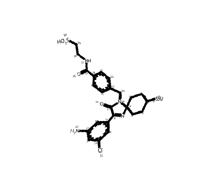 CC(C)(C)C1CCC2(CC1)N=C(c1cc(N)cc(Cl)c1)C(=O)N2Cc1ccc(C(=O)NCCS(=O)(=O)O)cc1